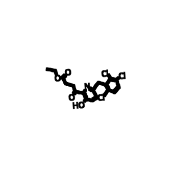 CCOC(=O)CCC(=O)c1nc(Cc2c(Cl)ccc(Cl)c2Cl)ccc1O